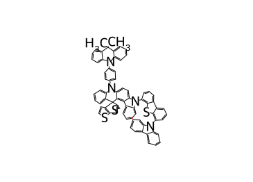 CC1(C)c2ccccc2N(c2ccc(N3c4ccccc4C4(c5ccsc5-c5sccc54)c4c3ccc3c4c4ccccc4n3-c3cccc4c3sc3c(-n5c6ccccc6c6ccccc65)cccc34)cc2)c2ccccc21